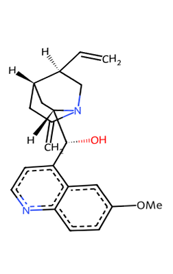 C=C[C@H]1CN2C(=C)C[C@H]1C[C@H]2[C@H](O)c1ccnc2ccc(OC)cc12